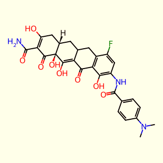 CN(C)c1ccc(C(=O)Nc2cc(F)c3c(c2O)C(=O)C2=C(O)[C@]4(O)C(=O)C(C(N)=O)=C(O)C[C@@H]4CC2C3)cc1